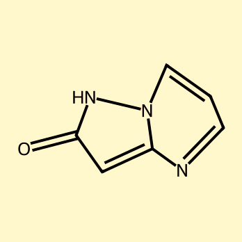 O=c1cc2ncccn2[nH]1